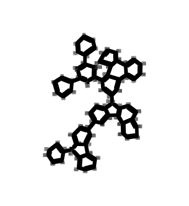 c1ccc(-c2nc(-c3ccccc3)nc(-c3cc(-n4c5ccc(-c6ccc7c(c6)c6ccccc6n7-c6ccccc6)cc5c5c6ccccc6ccc54)cc4c5ccccc5c5ccccc5c34)n2)cc1